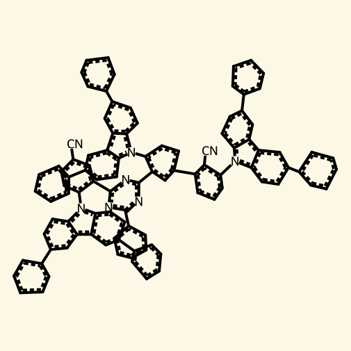 N#Cc1ccc(-n2c3ccc(-c4ccccc4)cc3c3cc(-c4ccccc4)ccc32)c(-c2nc(-c3ccccc3)nc(-c3cc(-c4cccc(-n5c6ccc(-c7ccccc7)cc6c6cc(-c7ccccc7)ccc65)c4C#N)ccc3-n3c4ccc(-c5ccccc5)cc4c4cc(-c5ccccc5)ccc43)n2)c1